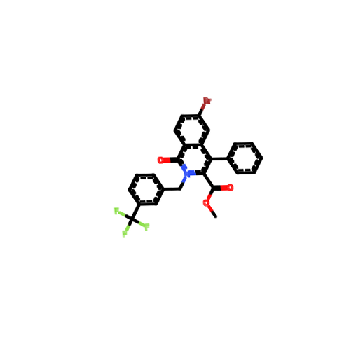 COC(=O)c1c(-c2ccccc2)c2cc(Br)ccc2c(=O)n1Cc1cccc(C(F)(F)F)c1